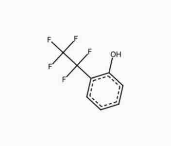 Oc1ccccc1C(F)(F)C(F)(F)F